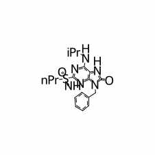 CCCS(=N)(=O)c1nc(NC(C)C)c2[nH]c(=O)n(Cc3ccccc3)c2n1